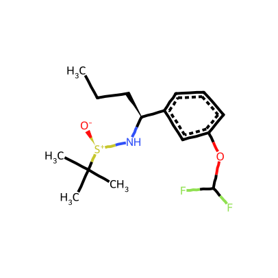 CCC[C@H](N[S@+]([O-])C(C)(C)C)c1cccc(OC(F)F)c1